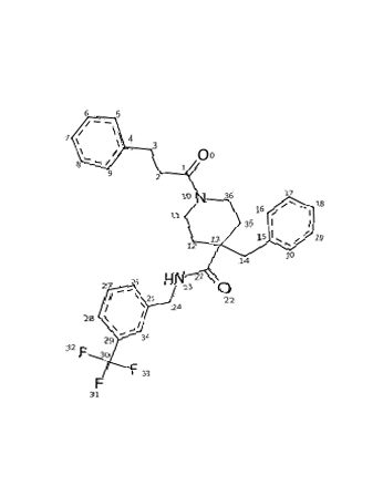 O=C(CCc1ccccc1)N1CCC(Cc2ccccc2)(C(=O)NCc2cccc(C(F)(F)F)c2)CC1